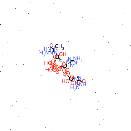 CC[C@H]1[C@@H](O)[C@H](n2c[n+](C)c3c(=O)[nH]c(N)nc32)O[C@@H]1COP(=O)(O)OP(=O)(O)OP(=O)(O)OC[C@H]1O[C@@H](n2cnc3c(N)ncnc32)[C@H](F)[C@@H]1OP(=O)([O-])OC[C@H]1O[C@@H](n2cnc3c(=O)[nH]c(N)nc32)[C@H](O)[C@@H]1O